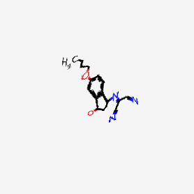 CCCCOc1ccc2c(c1)C(=O)CC2N=C(C#N)C#N